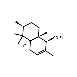 CCOC(=O)[C@H]1C(C)=CC[C@H]2C(C)(C)[C@@H](C)CC[C@]12C